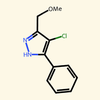 COCc1n[nH]c(-c2ccccc2)c1Cl